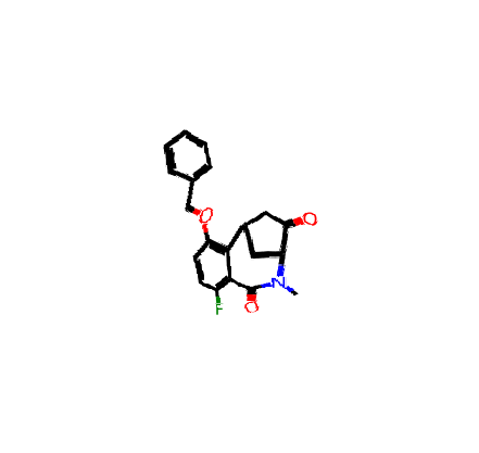 CN1C(=O)c2c(F)ccc(OCc3ccccc3)c2C2CC(=O)C1C2